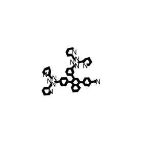 N#Cc1ccc(-c2cc(-c3cccc(-c4nc(-c5ccccn5)nc(-c5ccccn5)n4)c3)c(-c3ccc(-c4nc(-c5ccccn5)nc(-c5ccccn5)n4)cc3)c3ccccc23)cc1